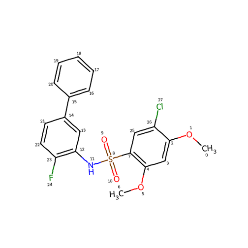 COc1cc(OC)c(S(=O)(=O)Nc2cc(-c3ccccc3)ccc2F)cc1Cl